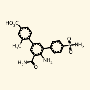 Cc1cc(C(=O)O)ccc1-c1cc(C(N)=O)c(N)c(-c2ccc(S(N)(=O)=O)cc2)c1